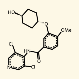 COc1ccc(C(=O)Nc2c(Cl)cncc2Cl)cc1O[C@H]1CC[C@H](O)CC1